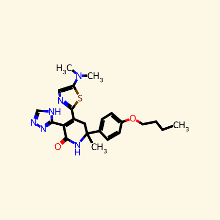 CCCCOc1ccc(C2(C)CC(c3ncc(N(C)C)s3)=C(c3nnc[nH]3)C(=O)N2)cc1